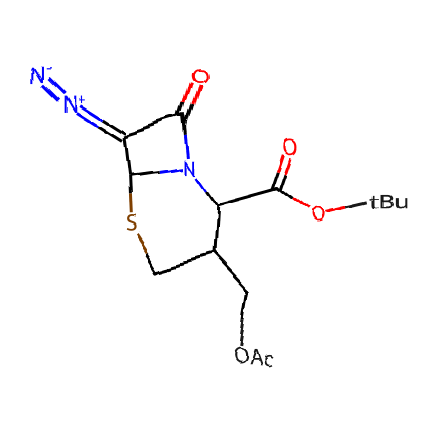 CC(=O)OCC1CSC2C(=[N+]=[N-])C(=O)N2C1C(=O)OC(C)(C)C